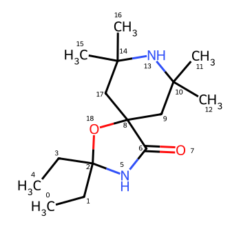 CCC1(CC)NC(=O)C2(CC(C)(C)NC(C)(C)C2)O1